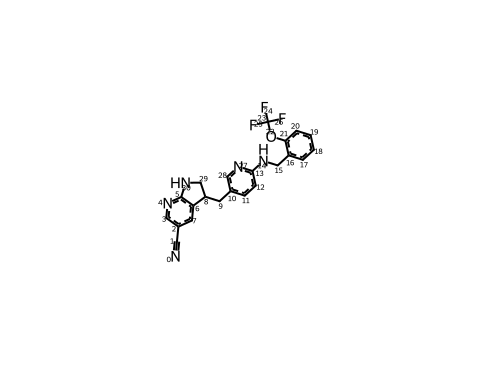 N#Cc1cnc2c(c1)C(Cc1ccc(NCc3ccccc3OC(F)(F)F)nc1)CN2